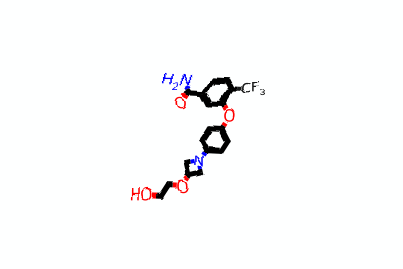 NC(=O)c1ccc(C(F)(F)F)c(Oc2ccc(N3CC(OCCO)C3)cc2)c1